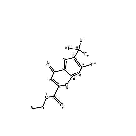 CCOC(=O)c1cc(=O)c2cc(C(F)(F)F)c(F)cc2o1